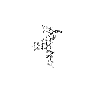 COc1cc(OC)c(Cl)c(-c2cc3cnc(Nc4ccccn4)nc3n(Cc3cccc(NC(=O)/C=C/CN(C)C)c3)c2=O)c1Cl